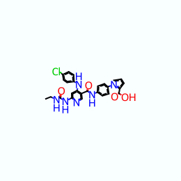 CCNC(=O)Nc1cc(Nc2ccc(Cl)cc2)c(C(=O)Nc2ccc(-n3cccc3C(=O)O)cc2)cn1